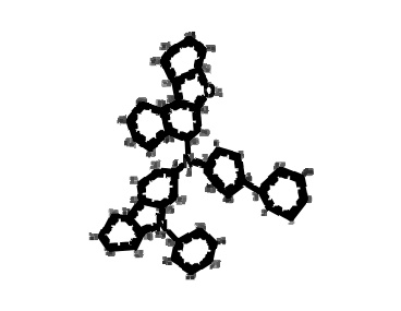 c1ccc(-c2ccc(N(c3ccc4c5ccccc5n(-c5ccccc5)c4c3)c3cc4oc5ccccc5c4c4ccccc34)cc2)cc1